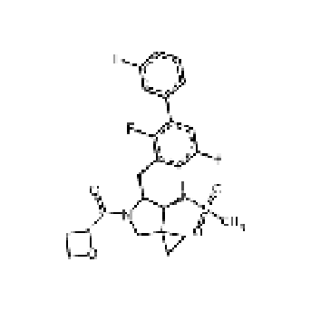 CS(=O)(=O)N[C@@H]1[C@H](Cc2cc(F)cc(-c3cccc(F)c3)c2F)N(C(=O)[C@H]2CCO2)CC12CC2